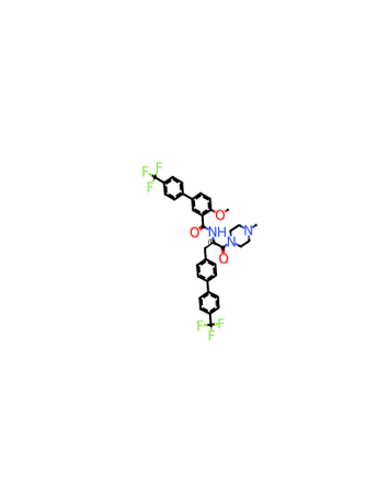 COc1ccc(-c2ccc(C(F)(F)F)cc2)cc1C(=O)N[C@H](Cc1ccc(-c2ccc(C(F)(F)F)cc2)cc1)C(=O)N1CCN(C)CC1